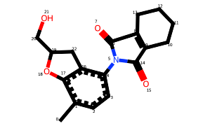 Cc1ccc(N2C(=O)C3=C(CCCC3)C2=O)c2c1OC(CO)C2